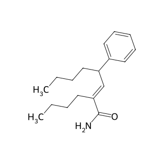 CCCCC(=CC(CCCC)c1ccccc1)C(N)=O